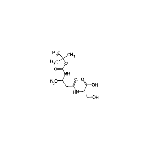 C[C@H](CC(=O)N[C@@H](CO)C(=O)O)NC(=O)OC(C)(C)C